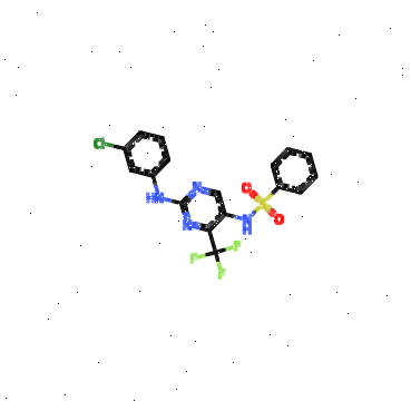 O=S(=O)(Nc1cnc(Nc2cccc(Cl)c2)nc1C(F)(F)F)c1ccccc1